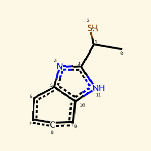 CC(S)c1nc2ccccc2[nH]1